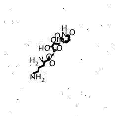 NCCCC[C@H](N)C(=O)OC[C@H]1O[C@@H](n2ccc(=O)[nH]c2=O)[C@H](O)[C@@H]1O